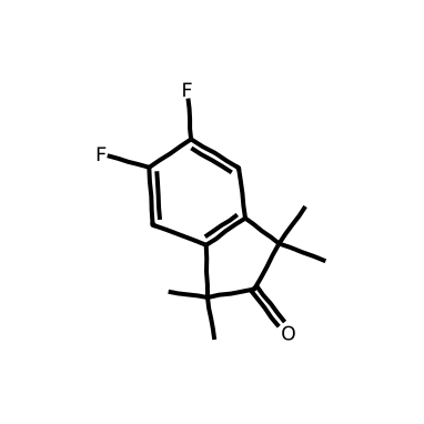 CC1(C)C(=O)C(C)(C)c2cc(F)c(F)cc21